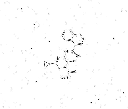 COC(=O)c1nc(C2CC2)nc(N[C@H](C)c2cccc3ccccc23)c1Cl